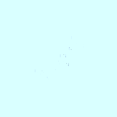 CC(CSc1cnc(NC(=O)N(CC2CCCC2)c2ccccc2F)s1)C(=O)O